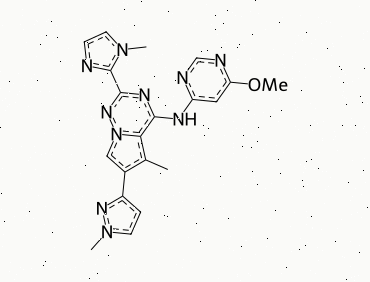 COc1cc(Nc2nc(-c3nccn3C)nn3cc(-c4ccn(C)n4)c(C)c23)ncn1